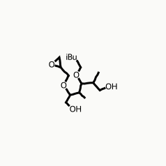 CCC(C)COC(C(C)CO)C(C)C(CO)OCC1CO1